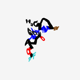 Cc1ccc(Br)nc1NC(=O)C1CC2(COC(F)F)CC2N1C(=O)O